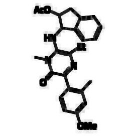 CCc1nc(-c2ccc(OC)cc2C)c(=O)n(C)c1NC1c2ccccc2CC1OC(C)=O